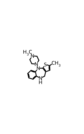 Cc1cc2c(s1)N(N1CCN(C)CC1)c1ccccc1NC2